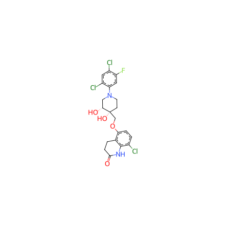 O=C1CCc2c(OC[C@]3(O)CCN(c4cc(F)c(Cl)cc4Cl)C[C@H]3O)ccc(Cl)c2N1